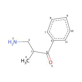 CC(CN)C(=O)c1ccccc1